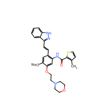 COc1cc(C=Cc2n[nH]c3ccccc23)c(NC(=O)c2sccc2C)cc1OCCN1CCOCC1